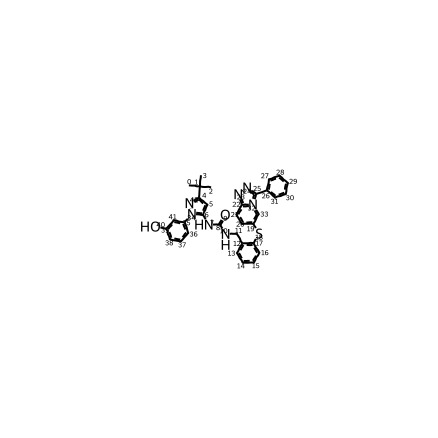 CC(C)(C)c1cc(NC(=O)NCc2ccccc2Sc2ccc3nnc(-c4ccccc4)n3c2)n(-c2cccc(O)c2)n1